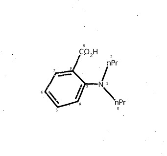 CCCN(CCC)c1ccccc1C(=O)O